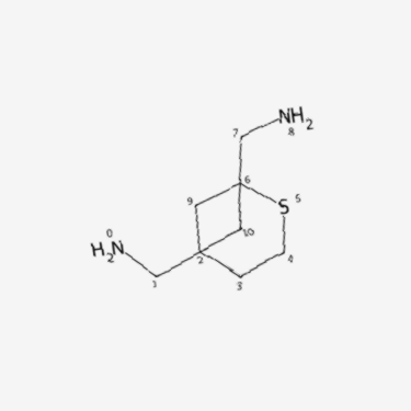 NCC12CCSC(CN)(C1)C2